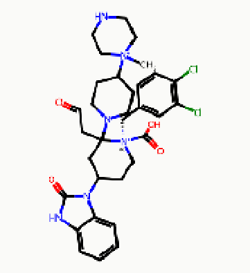 C[N+]1(C2CCN(C3(CC=O)CC(n4c(=O)[nH]c5ccccc54)CC[N@+]3(Cc3ccc(Cl)c(Cl)c3)C(=O)O)CC2)CCNCC1